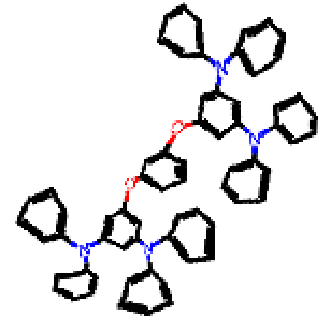 c1ccc(N(c2ccccc2)c2cc(Oc3cccc(Oc4cc(N(c5ccccc5)c5ccccc5)cc(N(c5ccccc5)c5ccccc5)c4)c3)cc(N(c3ccccc3)c3ccccc3)c2)cc1